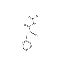 COC(=O)NC(=O)[C@@H](N)Cc1ccccc1